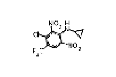 O=[N+]([O-])c1cc(C(F)(F)F)c(Cl)c([N+](=O)[O-])c1NC1CC1